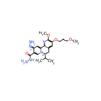 COCCCOc1cc2c(nc1OC)-c1c/c(=N\N)c(C(=O)NN)cn1[C@H](C(C)C)C2